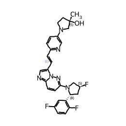 C[C@]1(O)CCN(c2ccc(/C=C/c3cnc4ccc(N5C[C@@H](F)C[C@@H]5c5cc(F)ccc5F)nn34)nc2)C1